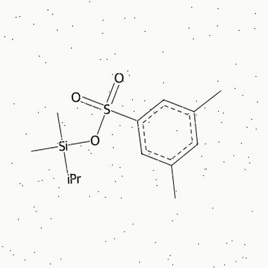 Cc1cc(C)cc(S(=O)(=O)O[Si](C)(C)C(C)C)c1